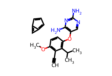 C#Cc1c(OC)ccc(Oc2cnc(N)nc2N)c1C(C)C.c1cc2cc-2c1